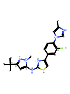 Cc1cn(-c2ccc(C3=CSC(Nc4cc(C(C)(C)C)nn4C)N3)cc2F)cn1